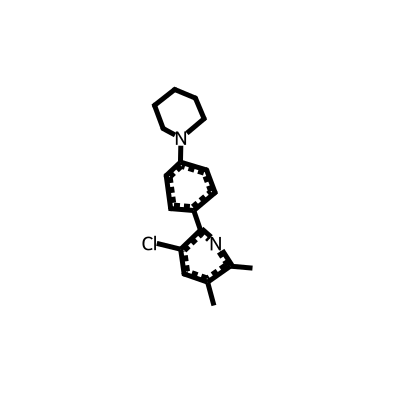 Cc1cc(Cl)c(-c2ccc(N3CCCCC3)cc2)nc1C